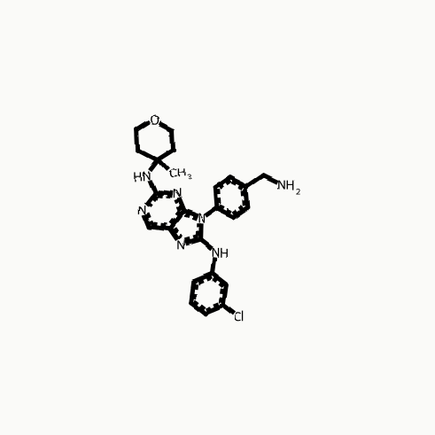 CC1(Nc2ncc3nc(Nc4cccc(Cl)c4)n(-c4ccc(CN)cc4)c3n2)CCOCC1